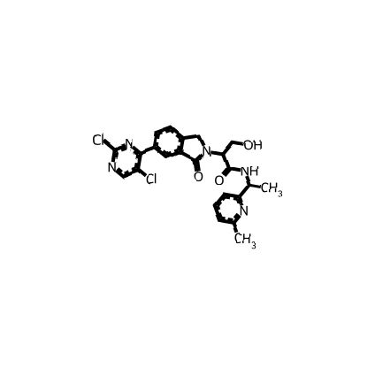 Cc1cccc(C(C)NC(=O)C(CO)N2Cc3ccc(-c4nc(Cl)ncc4Cl)cc3C2=O)n1